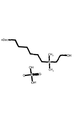 CCCCCCCCCCCCCCCC[N+](C)(C)CCO.O=P([O-])(O)O